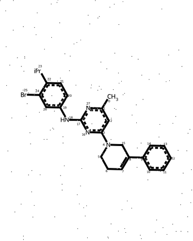 Cc1cc(N2CCC=C(c3ccccc3)C2)nc(Nc2ccc(C(C)C)c(Br)c2)n1